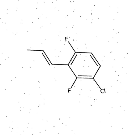 CC=Cc1c(F)ccc(Cl)c1F